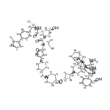 Cc1ncsc1-c1ccc([C@H](C)NC(=O)[C@@H]2C[C@@H](O)CN2C(=O)[C@@H](c2cc(N3CCC(CN4CCC(O[C@H]5C[C@H](N6CCC(C#N)(CN7C8CCC7CN(c7cc(-c9ccccc9O)nnc7N)C8)CC6)C5)CC4)CC3)no2)C(C)C)cc1